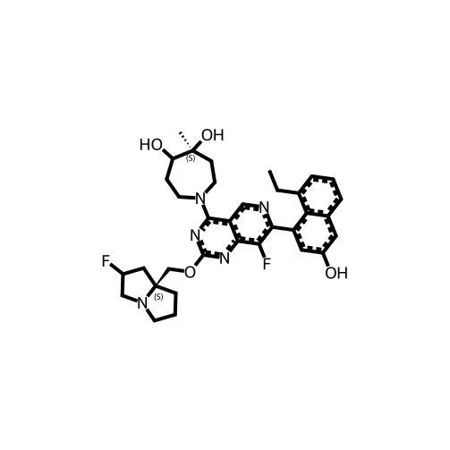 CCc1cccc2cc(O)cc(-c3ncc4c(N5CCC(O)[C@@](C)(O)CC5)nc(OC[C@@]56CCCN5CC(F)C6)nc4c3F)c12